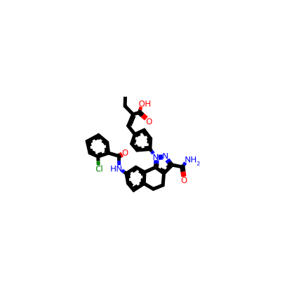 CCC(=Cc1ccc(-n2nc(C(N)=O)c3c2-c2cc(NC(=O)c4ccccc4Cl)ccc2CC3)cc1)C(=O)O